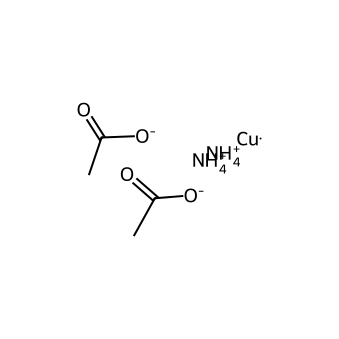 CC(=O)[O-].CC(=O)[O-].[Cu].[NH4+].[NH4+]